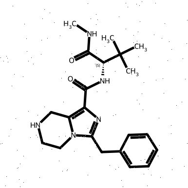 CNC(=O)[C@@H](NC(=O)c1nc(Cc2ccccc2)n2c1CNCC2)C(C)(C)C